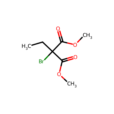 CCC(Br)(C(=O)OC)C(=O)OC